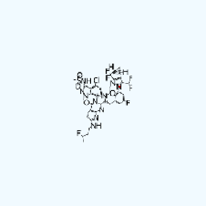 CC(F)CCNc1ccc2c(=O)n(-c3ccc(Cl)c4c(NS(C)(=O)=O)nn(C)c34)c([C@H](Cc3cc(F)cc(F)c3)NC(=O)Cn3nc(C(F)F)c4c3C(F)(F)[C@@H]3C[C@H]43)nc2n1